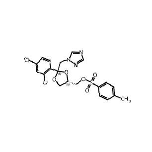 Cc1ccc(S(=O)(=O)OC[C@@H]2CO[C@](Cn3cncn3)(c3ccc(Cl)cc3Cl)O2)cc1